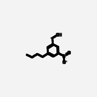 CCCCc1cc([CH]O)cc([N+](=O)[O-])c1